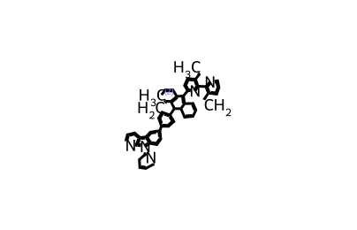 C=CC1=C(/C=C\C)C(c2ccc(CC)c(-c3ncccc3C=C)n2)=C2C=CC=CC2C1c1ccc(-c2ccc3c(c2)c2cccnc2n3C2CC=CC=N2)cc1